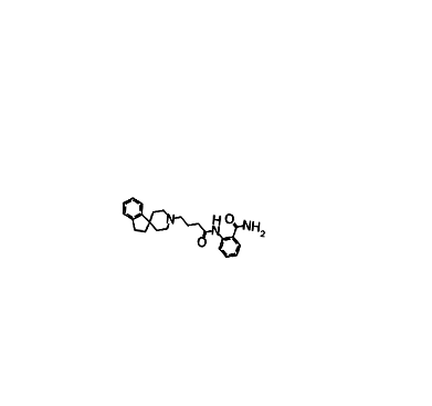 NC(=O)c1ccccc1NC(=O)CCCN1CCC2(CCc3ccccc32)CC1